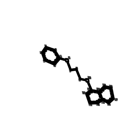 [c]1ccccc1OCCCOc1cccc2ccccc12